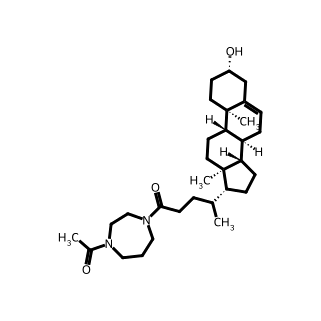 CC(=O)N1CCCN(C(=O)CCC(C)[C@H]2CC[C@H]3[C@@H]4CC=C5C[C@@H](O)CC[C@]5(C)[C@H]4CC[C@]23C)CC1